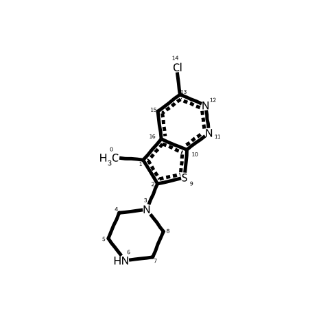 Cc1c(N2CCNCC2)sc2nnc(Cl)cc12